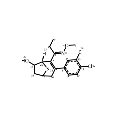 CCC(=NOC)C1=C(c2ccc(Cl)c(Cl)c2)CC2CC(O)[C@H]1S2